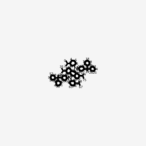 CC(C)c1cccc(N(c2ccc(C(C)(c3ccccc3)c3ccccc3)cc2)c2c3ccc(C(C)C)cc3c(N(c3ccc(C(C)(c4ccccc4)c4ccccc4)cc3)c3cccc(C(C)C)c3)c3ccc(C(C)C)cc23)c1